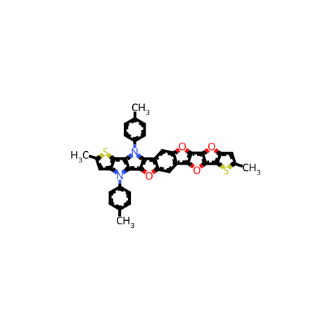 Cc1ccc(-n2c3cc(C)sc3c3c2c2oc4cc5c(cc4c2n3-c2ccc(C)cc2)oc2c5oc3c2oc2cc(C)sc23)cc1